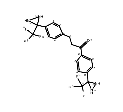 O=C(CCc1ccc(C2(C(F)(F)F)NN2)cc1)c1ccc(C2(C(F)(F)F)NN2)cc1